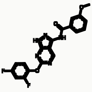 COc1cccc(C(=O)Nc2n[nH]c3nc(Oc4ccc(F)cc4F)ncc23)c1